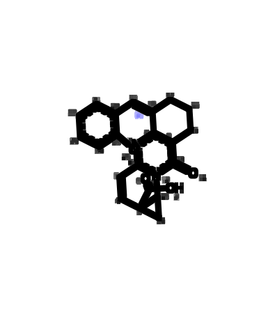 O=C(O)C12C=Cc3nc4c(c(=O)n3C1C2)CCC/C4=C/c1ccccc1Cl